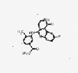 COC(=O)c1ccc(C)c(Nc2nc3ccc(F)cc3c3c(=O)[nH]ccc23)c1